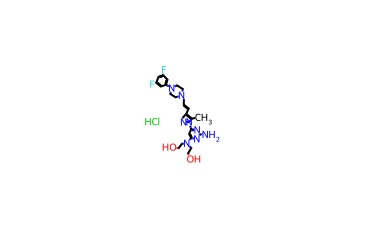 Cc1c(C=CCN2CCN(c3cc(F)cc(F)c3)CC2)cnn1-c1cc(N(CCO)CCO)nc(N)n1.Cl